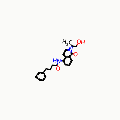 CC(CO)n1ccc2c(NC(=O)CCCc3ccccc3)cccc2c1=O